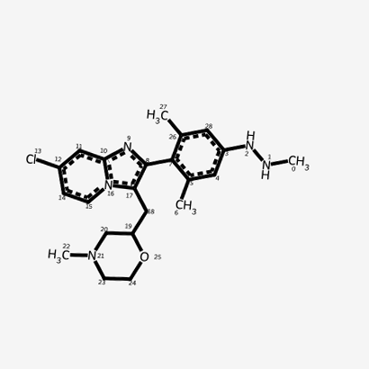 CNNc1cc(C)c(-c2nc3cc(Cl)ccn3c2CC2CN(C)CCO2)c(C)c1